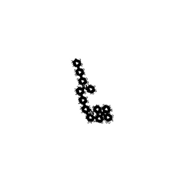 c1ccc(-c2ccc(-c3ccc(N(c4ccccc4)c4cccc(-c5ccc(-c6ccc7c8ccccc8n(-c8cccc9c8-c8ccccc8C9(c8ccccc8)c8ccccc8)c7c6)cc5)c4)cc3)cc2)cc1